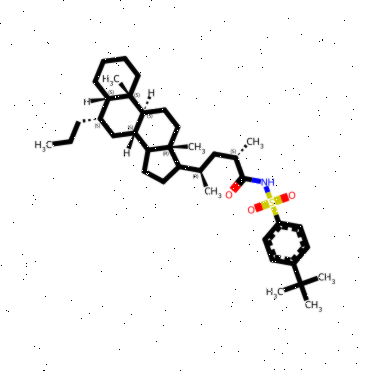 CCC[C@H]1C[C@H]2C3CCC([C@H](C)C[C@H](C)C(=O)NS(=O)(=O)c4ccc(C(C)(C)C)cc4)[C@@]3(C)CC[C@@H]2[C@@]2(C)CCCC[C@@H]12